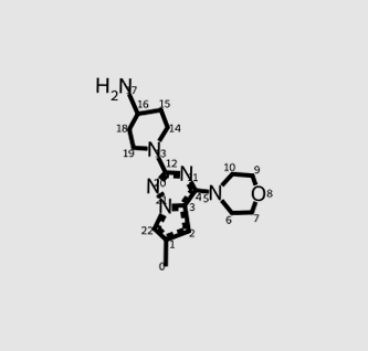 Cc1cc2c(N3CCOCC3)nc(N3CCC(N)CC3)nn2c1